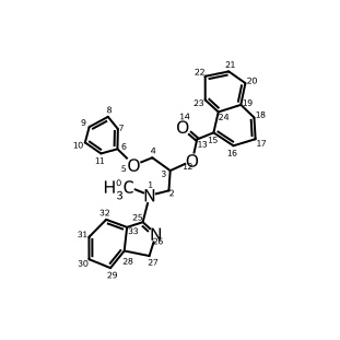 CN(CC(COc1ccccc1)OC(=O)c1cccc2ccccc12)C1=NCc2ccccc21